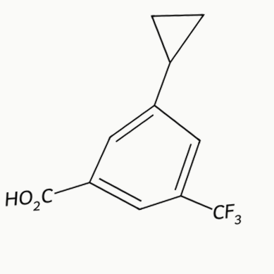 O=C(O)c1cc(C2CC2)cc(C(F)(F)F)c1